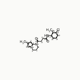 Cc1cc2n(n1)CCCN2C(=O)CCC(=O)Nc1cccc(Cl)c1C